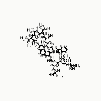 CC(=O)N[C@@H](CCCNC(=N)N)C(=O)N[C@@H](CCCNC(=N)N)C(=O)N[C@@H](Cc1ccccc1)C(=O)N[C@@H](Cc1c[nH]c2ccccc12)C(=O)N[C@@H](CCC(N)=O)C(=O)N[C@@H](CS)C(=O)N[C@H](C(=O)N[C@@H](C)C(=O)NC(C(=O)O)C(C)C)[C@@H](C)O